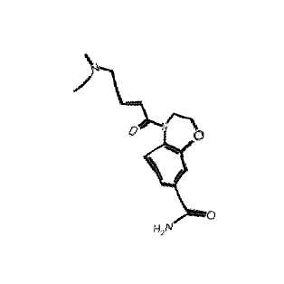 CN(C)CC=CC(=O)N1CCOc2cc(C(N)=O)ccc21